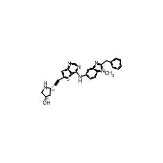 Cn1c(Cc2ccccc2)nc2cc(Nc3ncnc4cc(C#C[C@@H]5C[C@@H](O)CN5)sc34)ccc21